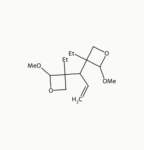 C=CC(C1(CC)COC1OC)C1(CC)COC1OC